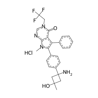 Cl.Cn1c(-c2ccc(C3(N)CC(C)(O)C3)cc2)c(-c2ccccc2)c2c(=O)n(CC(F)(F)F)cnc21